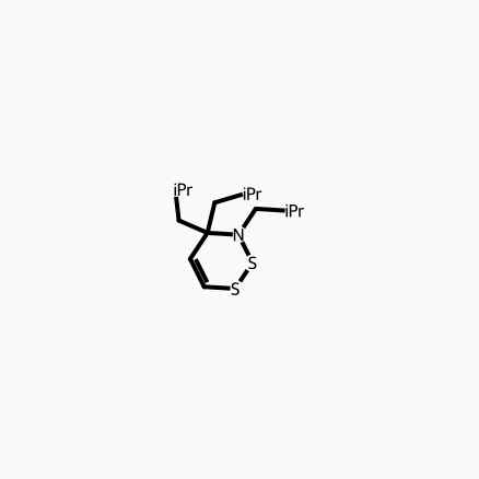 CC(C)CN1SSC=CC1(CC(C)C)CC(C)C